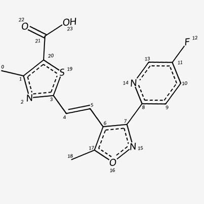 Cc1nc(C=Cc2c(-c3ccc(F)cn3)noc2C)sc1C(=O)O